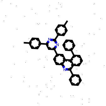 Cc1ccc(-c2cc(-c3ccc4nc(-c5ccccc5)c5cccc(-c6ccccc6)c5c4c3)nc(-c3ccc(C)cc3)n2)cc1